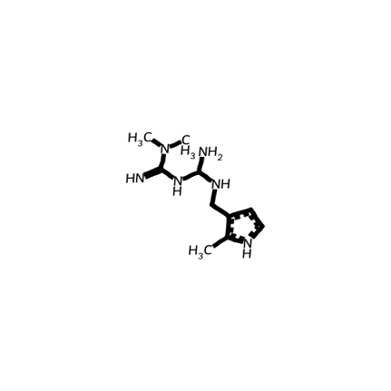 Cc1[nH]ccc1CNC(N)NC(=N)N(C)C